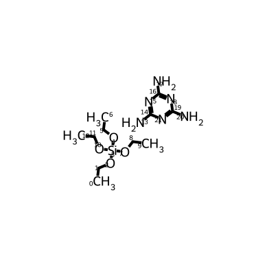 CCO[Si](OCC)(OCC)OCC.Nc1nc(N)nc(N)n1